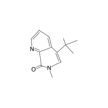 Cn1cc(C(C)(C)C)c2cccnc2c1=O